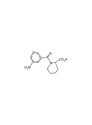 Nc1cccc(C(=O)N2CCCCC2C(=O)O)c1